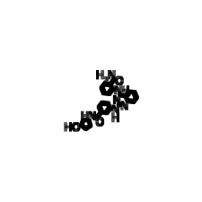 NC(=O)c1ccccc1Nc1nc(Nc2cccc(C(=O)NC3CCC(O)C3)c2)nc2ccccc12